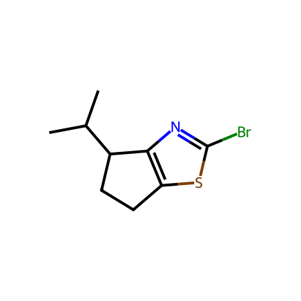 CC(C)C1CCc2sc(Br)nc21